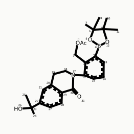 CC(=O)OCc1c(B2OC(C)(C)C(C)(C)O2)cccc1N1CCc2cc(C(C)(C)O)ccc2C1=O